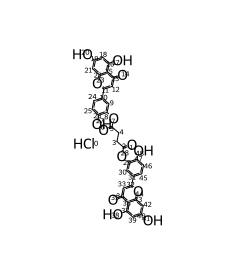 Cl.O=C(CCC(=O)Oc1cc(-c2cc(=O)c3c(O)cc(O)cc3o2)ccc1O)Oc1cc(-c2cc(=O)c3c(O)cc(O)cc3o2)ccc1O